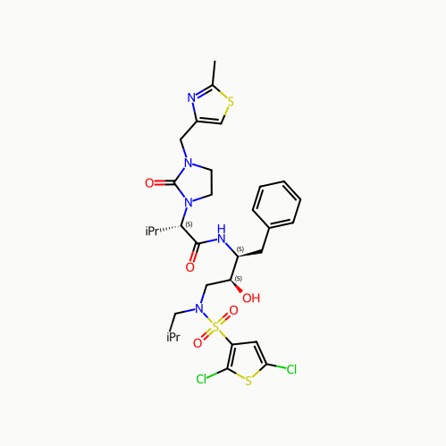 Cc1nc(CN2CCN([C@H](C(=O)N[C@@H](Cc3ccccc3)[C@@H](O)CN(CC(C)C)S(=O)(=O)c3cc(Cl)sc3Cl)C(C)C)C2=O)cs1